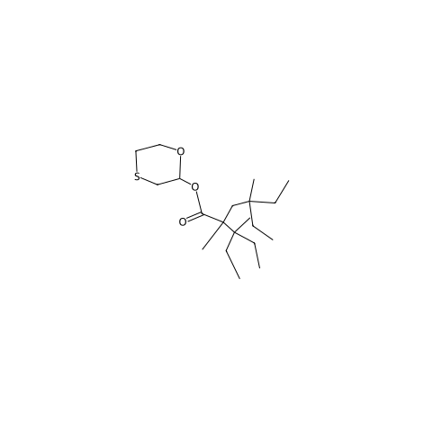 CCC(C)(CC)CC(C)(C(=O)OC1CSCCO1)C(C)(CC)CC